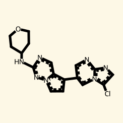 Clc1cnc2ncc(-c3ccn4nc(NC5CCOCC5)ncc34)cn12